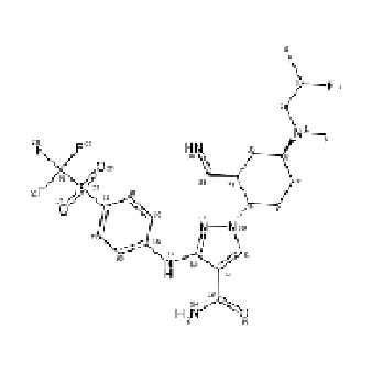 CN(CC(F)F)[C@H]1CC[C@H](n2cc(C(N)=O)c(Nc3ccc(S(=O)(=O)C(F)(F)F)cc3)n2)[C@@H](C=N)C1